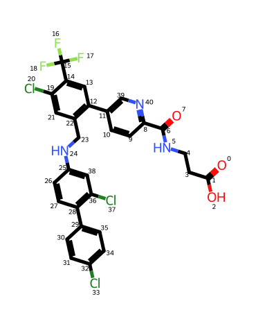 O=C(O)CCNC(=O)c1ccc(-c2cc(C(F)(F)F)c(Cl)cc2CNc2ccc(-c3ccc(Cl)cc3)c(Cl)c2)cn1